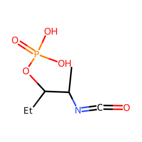 CCC(OP(=O)(O)O)C(C)N=C=O